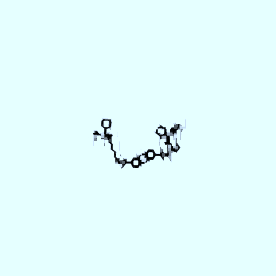 COC(=O)N[C@H](C(=O)N1CCC[C@H]1C1=NCC(c2ccc3c(c2)Oc2ccc(C4CN=C(CCCCNC(=O)[C@@H](NC=O)C5CCOCC5)N4)cc2O3)N1)C1CCOCC1